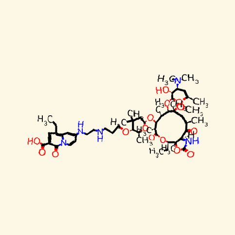 CCc1cc(C(=O)O)c(=O)n2ccc(NCCNCCCO[C@H]3[C@H](C)O[C@@H](O[C@H]4[C@H](C)[C@@H](O[C@@H]5O[C@H](C)C[C@H](N(C)C)[C@H]5O)[C@](C)(OC)C[C@@H](C)C(=O)[C@H]5NC(=O)O[C@]5(C)[C@@H](CC)OC(=O)[C@@H]4C)CC3(C)C)cc12